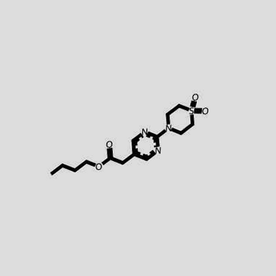 CCCCOC(=O)Cc1cnc(N2CCS(=O)(=O)CC2)nc1